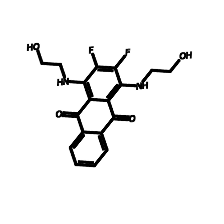 O=C1c2ccccc2C(=O)c2c(NCCO)c(F)c(F)c(NCCO)c21